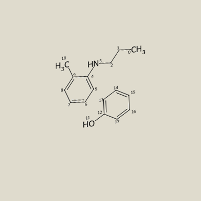 CCCNc1ccccc1C.Oc1ccccc1